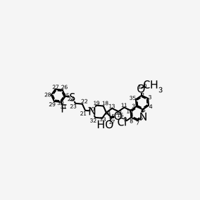 COc1ccc2ncc(Cl)c(CCCC3(C(=O)O)CCN(CCCSc4ccccc4F)CC3)c2c1